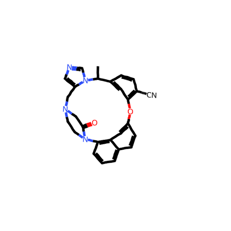 CC1c2ccc(C#N)c(c2)Oc2ccc3cccc(c3c2)N2CCN(CC2=O)Cc2cncn21